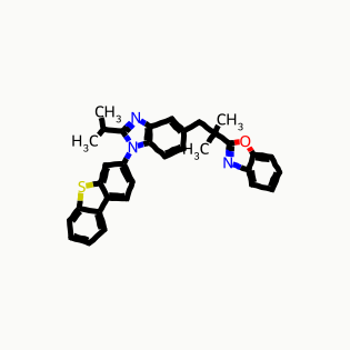 CC(C)c1nc2cc(CC(C)(C)c3nc4ccccc4o3)ccc2n1-c1ccc2c(c1)sc1ccccc12